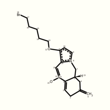 C=C1CC=C2[C@@H](C1)Cn1ccc(OCCCCCBr)c1C=[N+]2[O-]